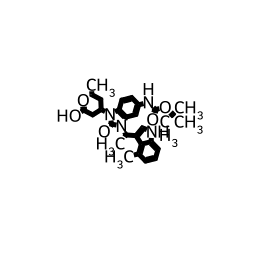 CCCC(CC(=O)O)n1c(=O)n(C(C)c2c[nH]c3cccc(C)c23)c2cc(NC(=O)OC(C)(C)C)ccc21